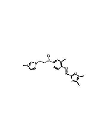 CCN(CCn1cc[n+](C)c1)c1ccc(N=Nc2nc(C)c(C)s2)c(C)c1